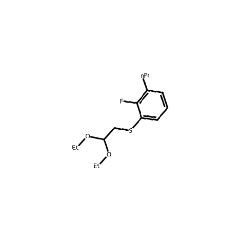 CCCc1cccc(SCC(OCC)OCC)c1F